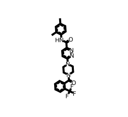 Cc1ccc(NC(=O)c2ccc(N3CCN(C(=O)c4ccccc4C(F)(F)F)CC3)nn2)c(C)c1